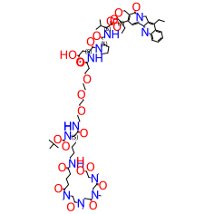 CCc1c2c(nc3ccccc13)-c1cc3c(c(=O)n1C2)COC(=O)[C@@]3(CC)OC(=O)[C@@H](NC(=O)[C@@H]1CCCN1C(=O)[C@H](CC(=O)O)NC(=O)CCOCCOCCOCCNC(=O)[C@H](CCCCNC(=O)CCCC(=O)N(C)CC(=O)N(C)CC(=O)N(C)CC(=O)N(C)CC(=O)O)NC(=O)OC(C)(C)C)C(C)C